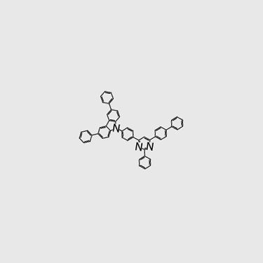 c1ccc(-c2ccc(-c3cc(-c4ccc(-n5c6ccc(-c7ccccc7)cc6c6cc(-c7ccccc7)ccc65)cc4)nc(-c4ccccc4)n3)cc2)cc1